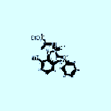 CCOC(=O)[C@H](C)NP(=O)(COc1ccccc1)Oc1c(C(C)CC)cccc1C(C)CC